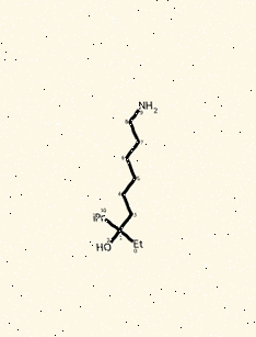 CCC(O)(CCCCCCN)C(C)C